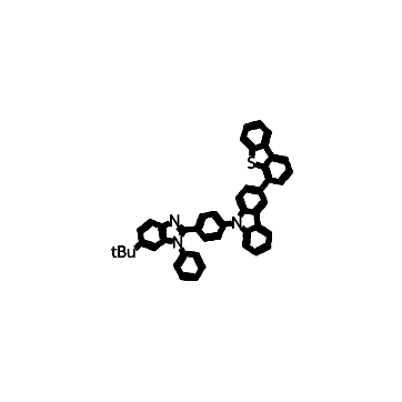 CC(C)(C)c1ccc2nc(-c3ccc(-n4c5ccccc5c5cc(-c6cccc7c6sc6ccccc67)ccc54)cc3)n(-c3ccccc3)c2c1